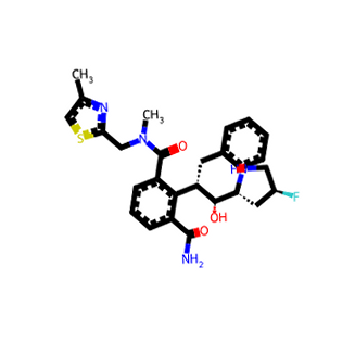 Cc1csc(CN(C)C(=O)c2cccc(C(N)=O)c2[C@H](Cc2ccccc2)[C@@H](O)[C@H]2C[C@H](F)CN2)n1